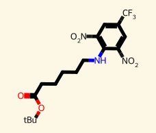 CC(C)(C)OC(=O)CCCCCNc1c([N+](=O)[O-])cc(C(F)(F)F)cc1[N+](=O)[O-]